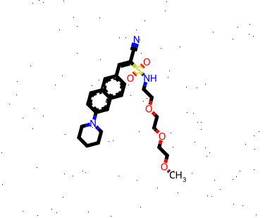 COCCOCCOCCNS(=O)(=O)/C(C#N)=C\c1ccc2cc(N3CCCCC3)ccc2c1